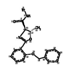 CCNC(=O)[C@@H]1N=C(c2ccccc2OCc2ccccc2)O[C@H]1C